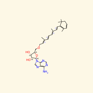 CC1=C(/C=C/C(C)=C/C=C/C(C)=C/COC[C@H]2O[C@@H](n3cnc4c(N)ncnc43)[C@H](O)[C@@H]2O)C(C)(C)CC=C1